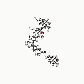 CCOS(=O)(=O)C(F)(C(F)(F)F)S(=O)(=O)OC.CCOS(=O)(=O)C(F)(C(F)(F)F)S(=O)(=O)OC.CCOS(=O)(=O)C(F)(C(F)(F)F)S(=O)(=O)OC.OB(O)O.c1c[nH]cn1.c1c[nH]cn1.c1c[nH]cn1